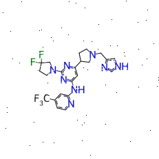 FC1(F)CCN(c2nc(Nc3cc(C(F)(F)F)ccn3)cc(C3CCN(Cc4c[nH]cn4)C3)n2)C1